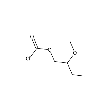 CCC(COC(=O)Cl)OC